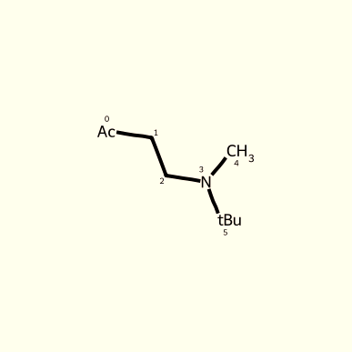 CC(=O)CCN(C)C(C)(C)C